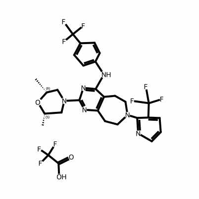 C[C@@H]1CN(c2nc3c(c(Nc4ccc(C(F)(F)F)cc4)n2)CCN(c2ncccc2C(F)(F)F)CC3)C[C@H](C)O1.O=C(O)C(F)(F)F